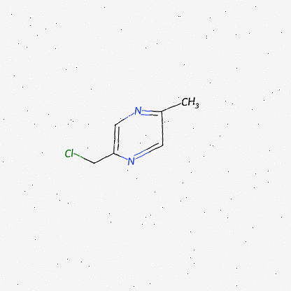 Cc1cnc(CCl)cn1